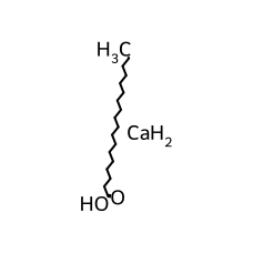 CCCCCCCCCCCCCCCCCC(=O)O.[CaH2]